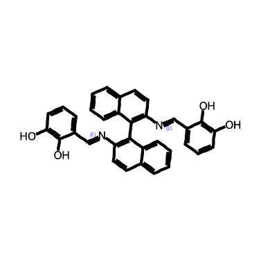 Oc1cccc(/C=N/c2ccc3ccccc3c2-c2c(/N=C/c3cccc(O)c3O)ccc3ccccc23)c1O